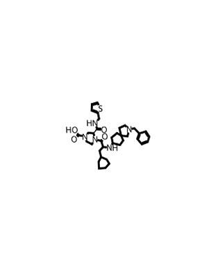 O=C(NCc1cccs1)[C@@H]1CN(C(=O)O)CCN1C(=O)C(CC1CCCCC1)NC1CCC2(CC1)CCN(Cc1ccccc1)C2